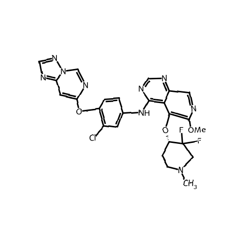 COc1ncc2ncnc(Nc3ccc(Oc4cc5ncnn5cn4)c(Cl)c3)c2c1O[C@H]1CCN(C)CC1(F)F